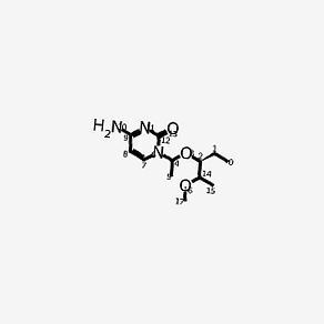 CC[C@H](OC(C)n1ccc(N)nc1=O)C(C)OC